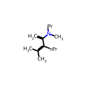 C=C(C(CCC)=C(C)C)N(C)C(C)C